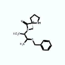 CC(OCc1ccccc1)C(C(=O)O)N1C[C@@]2(CCCN2)C1=O